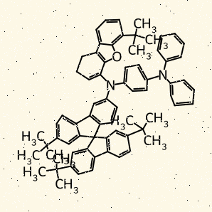 CC(C)(C)c1ccc2c(c1)C1(c3ccc(N(C4=CCCc5c4oc4c(C(C)(C)C)cccc54)c4ccc(N(c5ccccc5)c5ccccc5)cc4)cc3-2)c2cc(C(C)(C)C)ccc2-c2ccc(C(C)(C)C)cc21